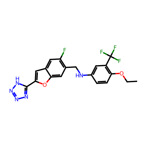 CCOc1ccc(NCc2cc3oc(-c4nnn[nH]4)cc3cc2F)cc1C(F)(F)F